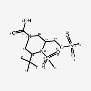 CC(C)(C)C1CN(C(=O)O)CC(COS(C)(=O)=O)N1S(C)(=O)=O